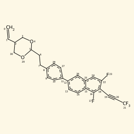 C=CC1COC(CCc2ccc(-c3ccc4c(F)c(C#CC(F)(F)F)c(F)cc4c3)cc2)OC1